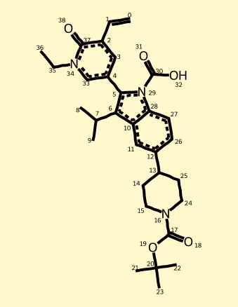 C=Cc1cc(-c2c(C(C)C)c3cc(C4CCN(C(=O)OC(C)(C)C)CC4)ccc3n2C(=O)O)cn(CC)c1=O